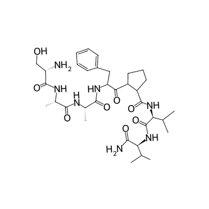 CC(C)[C@H](NC(=O)[C@@H](NC(=O)C1CCCC1C(=O)C(Cc1ccccc1)NC(=O)[C@H](C)NC(=O)[C@H](C)NC(=O)[C@@H](N)CO)C(C)C)C(N)=O